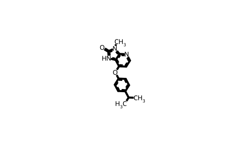 CC(C)c1ccc(Oc2ccnc3c2[nH]c(=O)n3C)cc1